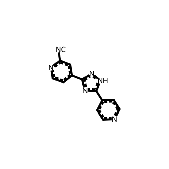 [C-]#[N+]c1cc(-c2n[nH]c(-c3ccncc3)n2)ccn1